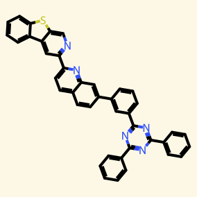 c1ccc(-c2nc(-c3ccccc3)nc(-c3cccc(-c4ccc5ccc(-c6cc7c(cn6)sc6ccccc67)nc5c4)c3)n2)cc1